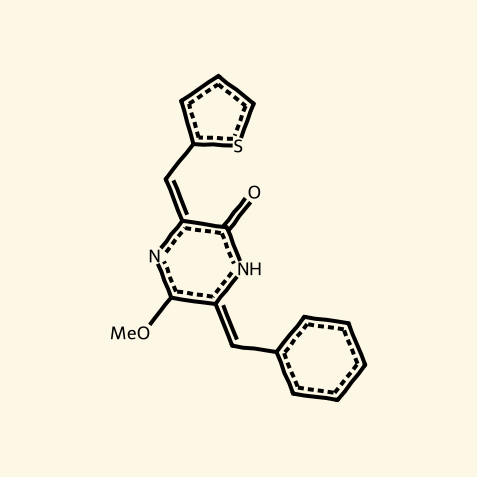 COc1nc(=Cc2cccs2)c(=O)[nH]c1=Cc1ccccc1